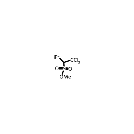 COS(=O)(=O)C(C(C)C)C(Cl)(Cl)Cl